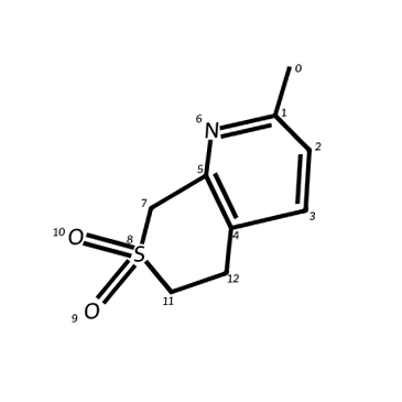 Cc1ccc2c(n1)CS(=O)(=O)CC2